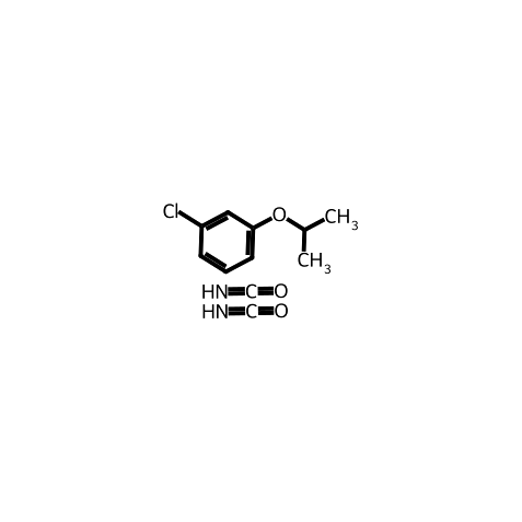 CC(C)Oc1cccc(Cl)c1.N=C=O.N=C=O